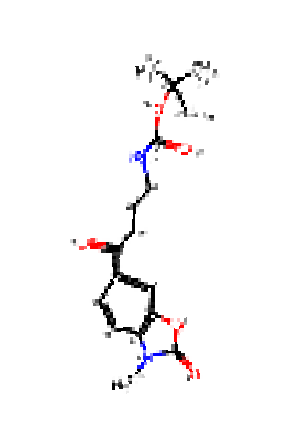 Cn1c(=O)oc2cc(C(=O)CCCNC(=O)OC(C)(C)C)ccc21